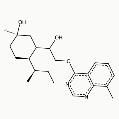 CC[C@@H](C)[C@H]1CC[C@@](C)(O)CC1C(O)COc1ncnc2c(C)cccc12